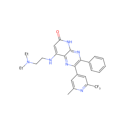 CCN(CC)CCNc1cc(=O)[nH]c2nc(-c3ccccc3)c(-c3cc(C)nc(C(F)(F)F)c3)nc12